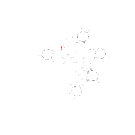 CC(C)(C)C(O[SiH](c1ccccc1)c1ccccc1)[C@@H]1[C@@H](C(=O)c2ccccc2)C[C@@H]1C(O[SiH](c1ccccc1)c1ccccc1)C(C)(C)C